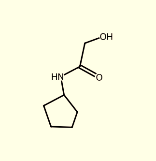 O=C(CO)NC1CCCC1